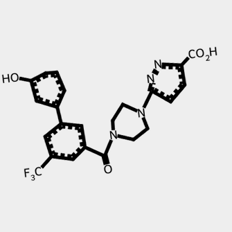 O=C(O)c1ccc(N2CCN(C(=O)c3cc(-c4cccc(O)c4)cc(C(F)(F)F)c3)CC2)nn1